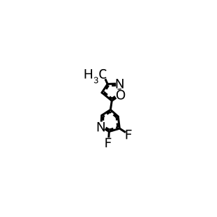 Cc1cc(-c2cnc(F)c(F)c2)on1